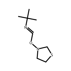 CC(C)(C)/N=C/ON1CCSC1